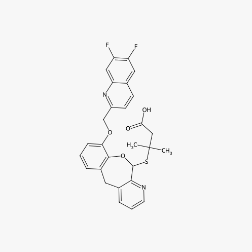 CC(C)(CC(=O)O)SC1Oc2c(cccc2OCc2ccc3cc(F)c(F)cc3n2)Cc2cccnc21